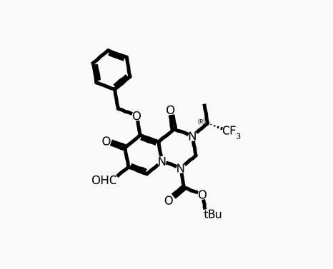 C[C@@H](N1CN(C(=O)OC(C)(C)C)n2cc(C=O)c(=O)c(OCc3ccccc3)c2C1=O)C(F)(F)F